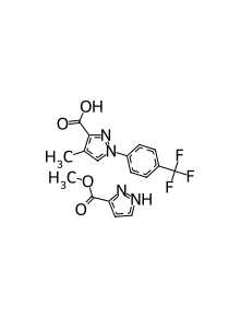 COC(=O)c1cc[nH]n1.Cc1cn(-c2ccc(C(F)(F)F)cc2)nc1C(=O)O